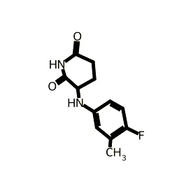 Cc1cc(NC2CCC(=O)NC2=O)ccc1F